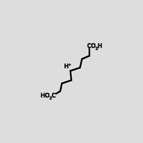 O=C(O)CCCCCCCC(=O)O.[H+]